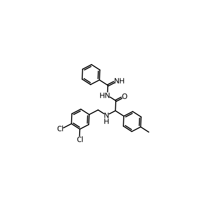 Cc1ccc(C(NCc2ccc(Cl)c(Cl)c2)C(=O)NC(=N)c2ccccc2)cc1